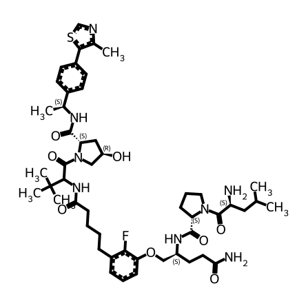 Cc1ncsc1-c1ccc([C@H](C)NC(=O)[C@@H]2C[C@@H](O)CN2C(=O)C(NC(=O)CCCCc2cccc(OC[C@H](CCC(N)=O)NC(=O)[C@@H]3CCCN3C(=O)[C@@H](N)CC(C)C)c2F)C(C)(C)C)cc1